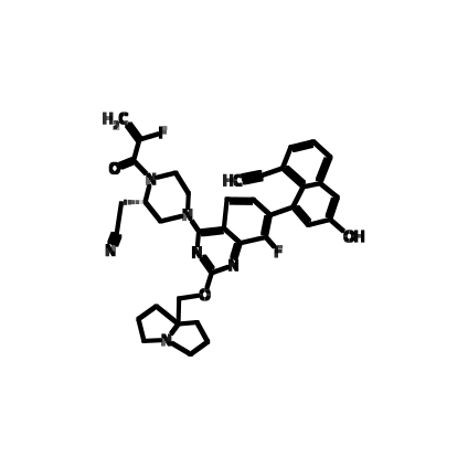 C#Cc1cccc2cc(O)cc(-c3ccc4c(N5CCN(C(=O)C(=C)F)[C@@H](CC#N)C5)nc(OCC56CCCN5CCC6)nc4c3F)c12